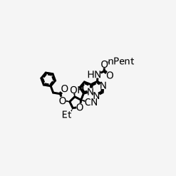 CCCCCOC(=O)Nc1ncnn2c([C@]3(C#N)O[C@H](CC)[C@@H](OC(=O)Cc4ccccc4)[C@H]3O)ccc12